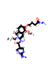 CCn1c(NC(=O)c2cnc(N)nc2)cc2c(OC)c(OCCCC(N)=O)ccc2c1=O